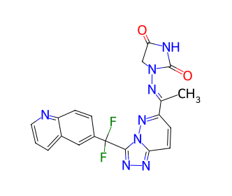 CC(=NN1CC(=O)NC1=O)c1ccc2nnc(C(F)(F)c3ccc4ncccc4c3)n2n1